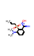 C=CCS(=O)(=O)c1c(C(=N)NO)cccc1N(C)C